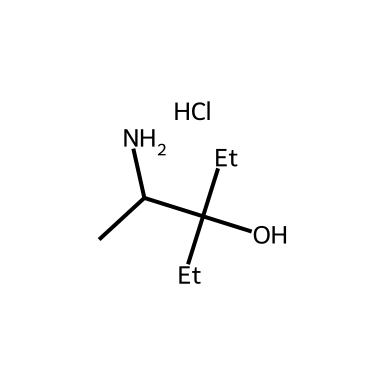 CCC(O)(CC)C(C)N.Cl